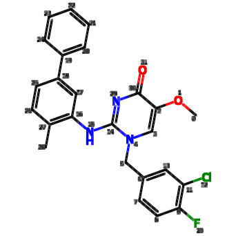 COc1cn(Cc2ccc(F)c(Cl)c2)c(Nc2cc(-c3ccccc3)ccc2C)nc1=O